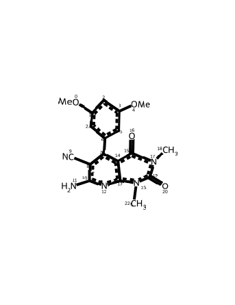 COc1cc(OC)cc(-c2c(C#N)c(N)nc3c2c(=O)n(C)c(=O)n3C)c1